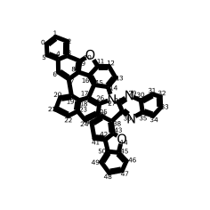 c1ccc2c(c1)cc1c3c2oc2ccc4c(c23)c2c3c-1cccc3ccc2n4-c1nc2ccccc2nc1-c1cccc2c1oc1ccccc12